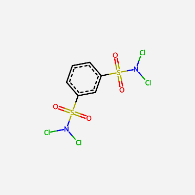 O=S(=O)(c1cccc(S(=O)(=O)N(Cl)Cl)c1)N(Cl)Cl